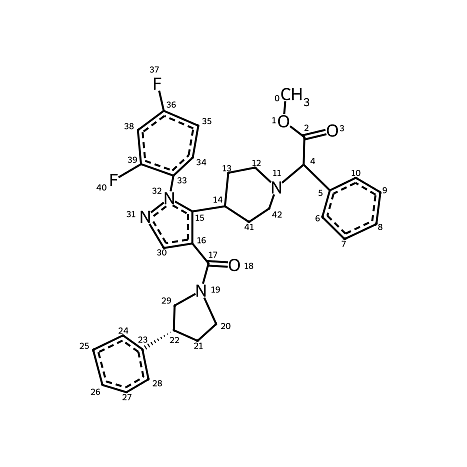 COC(=O)C(c1ccccc1)N1CCC(c2c(C(=O)N3CC[C@H](c4ccccc4)C3)cnn2-c2ccc(F)cc2F)CC1